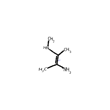 CN/C(C)=C(\C)N